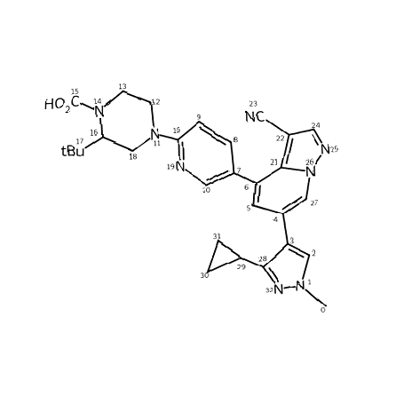 Cn1cc(-c2cc(-c3ccc(N4CCN(C(=O)O)C(C(C)(C)C)C4)nc3)c3c(C#N)cnn3c2)c(C2CC2)n1